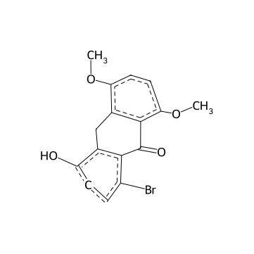 COc1ccc(OC)c2c1Cc1c(O)ccc(Br)c1C2=O